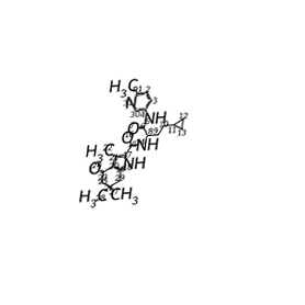 Cc1ccc(NC(=O)C(CCC2CC2)NC(=O)c2[nH]c3c(c2C)C(=O)CC(C)(C)C3)cn1